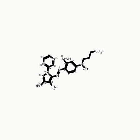 CCN(CCCS(=O)(=O)O)c1ccc(/N=N/c2c(C#N)c(C(C)(C)C)nn2-c2cnccn2)c(NC(C)=O)c1